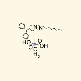 CCCCCCCCN=CN1CCC(C(c2ccccc2)c2ccccc2)CC1.O.O=C(O)/C=C/C(=O)O